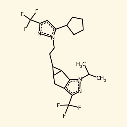 CC(C)n1nc(C(F)(F)F)c2c1C1C(CCn3nc(C(F)(F)F)cc3C3CCCC3)C1C2